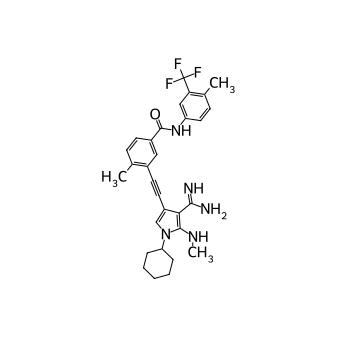 CNc1c(C(=N)N)c(C#Cc2cc(C(=O)Nc3ccc(C)c(C(F)(F)F)c3)ccc2C)cn1C1CCCCC1